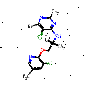 CCc1nc(C)nc(NC(C)(C)COc2ncc(C(F)(F)F)cc2Cl)c1Cl